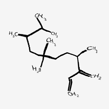 BC(C)(CCC(C)C(=C)C=C)CC(C)C(C)C